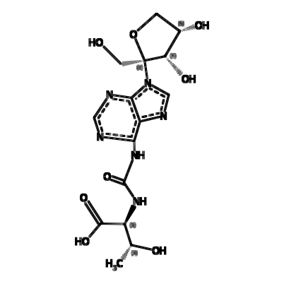 C[C@@H](O)[C@H](NC(=O)Nc1ncnc2c1ncn2[C@@]1(CO)OC[C@H](O)[C@@H]1O)C(=O)O